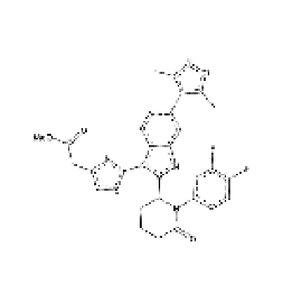 COC(=O)Cc1csc(-n2c([C@@H]3CCCC(=O)N3c3ccc(F)c(F)c3)nc3cc(-c4c(C)noc4C)ccc32)n1